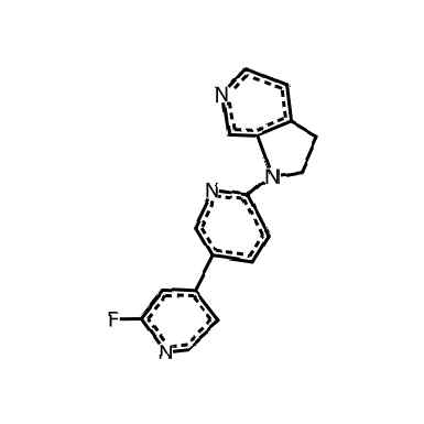 Fc1cc(-c2ccc(N3CCc4ccncc43)nc2)ccn1